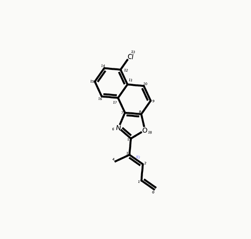 C=C/C=C(\C)c1nc2c(ccc3c(Cl)cccc32)o1